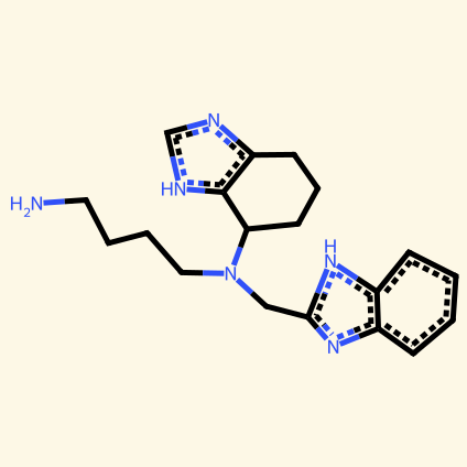 NCCCCN(Cc1nc2ccccc2[nH]1)C1CCCc2nc[nH]c21